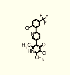 Cc1[nH]c(C)c(-c2ccc(-c3cc(C(F)(F)F)ccc3Cl)nc2)c(=O)c1Cl